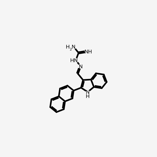 N=C(N)NN=Cc1c(-c2ccc3ccccc3c2)[nH]c2ccccc12